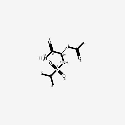 CC(=O)C[C@H](NS(=O)(=O)C(C)C)C(N)=O